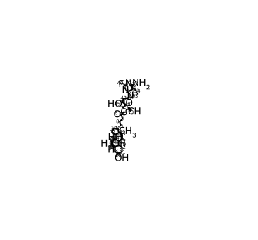 C#C[C@]1(COC(=O)CCC[C@H]2CC[C@H]3[C@@H]4CC[C@@H]5C[C@H](O)CC[C@]5(C)[C@H]4CC[C@]23C)O[C@@H](n2cnc3c(N)nc(F)nc32)C[C@@H]1O